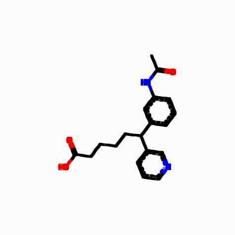 CC(=O)Nc1cccc(C(CCCCC(=O)O)c2cccnc2)c1